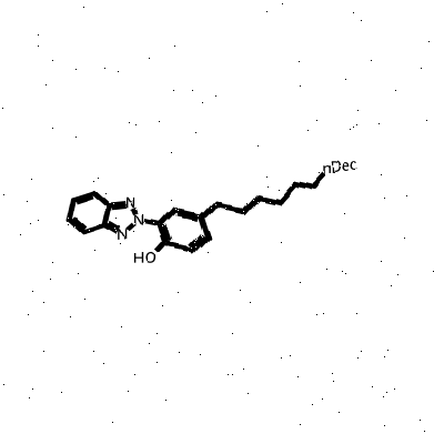 CCCCCCCCCCCCCCCCc1ccc(O)c(-n2nc3ccccc3n2)c1